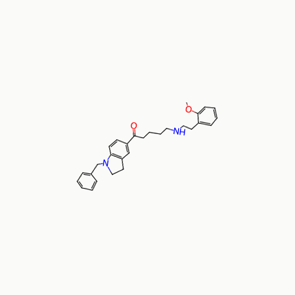 COc1ccccc1CCNCCCCC(=O)c1ccc2c(c1)CCN2Cc1ccccc1